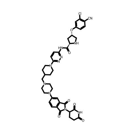 N#Cc1ccc(O[C@@H]2CN[C@@H](C(=O)Nc3ccc(N4CCC(CN5CCN(c6ccc7c(c6)C(=O)N(C6CCC(=O)NC6=O)C7=O)CC5)CC4)nn3)C2)cc1Cl